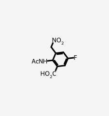 CC(=O)Nc1c(C[N+](=O)[O-])cc(F)cc1C(=O)O